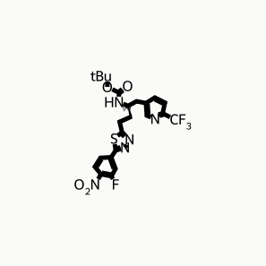 CC(C)(C)OC(=O)N[C@H](CCc1nnc(-c2ccc([N+](=O)[O-])c(F)c2)s1)Cc1ccc(C(F)(F)F)nc1